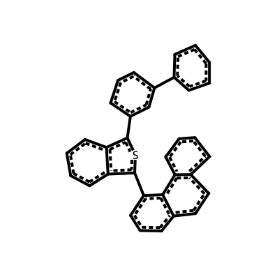 c1ccc(-c2cccc(-c3sc(-c4cccc5ccc6ccccc6c45)c4ccccc34)c2)cc1